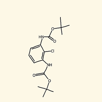 CC(C)(C)OC(=O)Nc1cccc(NC(=O)OC(C)(C)C)c1Cl